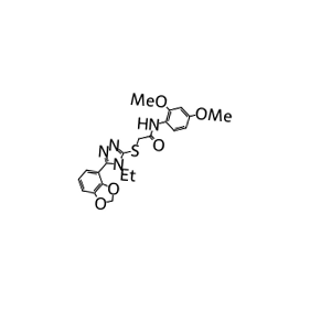 CCn1c(SCC(=O)Nc2ccc(OC)cc2OC)nnc1-c1cccc2c1OCO2